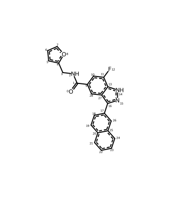 O=C(NCc1ccco1)c1cc(F)c2[nH]nc(-c3ccc4ccccc4c3)c2c1